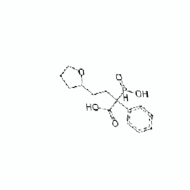 O=C(O)C(CCC1CCCO1)(c1ccccc1)[PH](=O)O